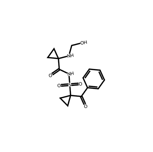 O=C(NS(=O)(=O)C1(C(=O)c2ccccc2)CC1)C1(NCO)CC1